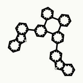 c1ccc2c(c1)-c1ccccc1-c1cc(-c3cccc4c3sc3ccccc34)ccc1-c1cc(-c3ccc4oc5ccccc5c4c3)ccc1-2